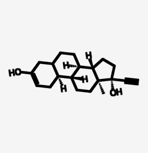 C#C[C@]1(O)CC[C@H]2[C@@H]3CCC4CC(O)=CC[C@@H]4[C@H]3CC[C@@]21C